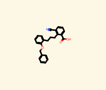 N#Cc1cccc(C(=O)O)c1CCCc1ccccc1OCc1ccccc1